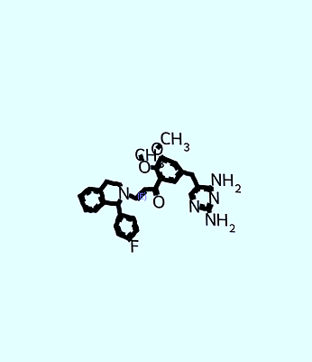 COc1cc(Cc2cnc(N)nc2N)cc(C(=O)/C=C/N2CCc3ccccc3C2c2ccc(F)cc2)c1OC